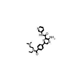 CCN(CCN(C)C)C(=O)c1ccc(-c2cnc(N)c(C(=O)Nc3cccnc3)n2)cc1